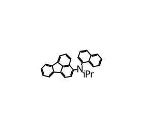 CC(C)N(c1cccc2ccccc12)c1ccc2c3c(cccc13)-c1ccccc1-2